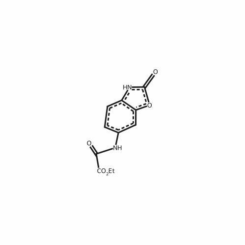 CCOC(=O)C(=O)Nc1ccc2[nH]c(=O)oc2c1